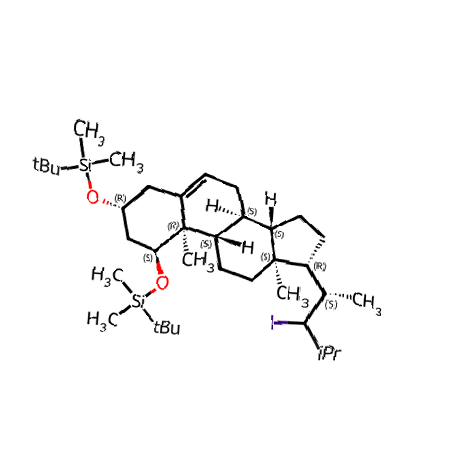 CC(C)C(I)[C@@H](C)[C@H]1CC[C@H]2[C@@H]3CC=C4C[C@@H](O[Si](C)(C)C(C)(C)C)C[C@H](O[Si](C)(C)C(C)(C)C)[C@]4(C)[C@H]3CC[C@]12C